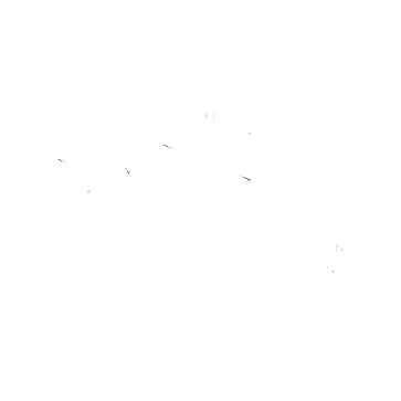 C[C@H]([C@@H]1O[C@H]1C[C@@H]1OC[C@H](CC(=O)CC(=O)c2cnn(C)c2)[C@@H](O)[C@H]1O)[C@H](C)O